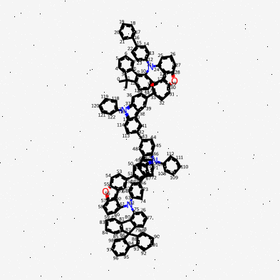 CC1(C)c2ccccc2-c2c(N(c3ccc(-c4ccccc4)cc3)c3cccc4oc5ccc(-c6ccc7c(c6)c6cc(-c8ccc9c(c8)c8cc(-c%10ccc%11oc%12cccc(N(c%13ccc(-c%14ccccc%14)cc%13)c%13cccc%14c%13-c%13ccccc%13C%14%13c%14ccccc%14-c%14ccccc%14%13)c%12c%11c%10)ccc8n9-c8ccccc8)ccc6n7-c6ccccc6)cc5c34)cccc21